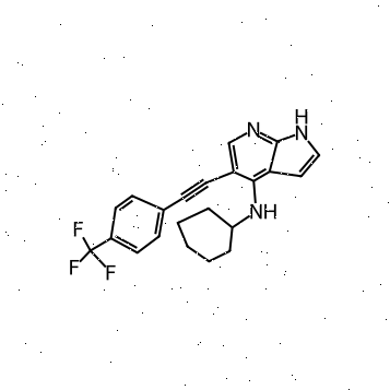 FC(F)(F)c1ccc(C#Cc2cnc3[nH]ccc3c2NC2CCCCC2)cc1